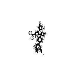 COC(=O)c1cc(-c2cnn(C)c2)c(C2(c3ccc(-c4cnc(N)nc4)cc3)CCC2)n1C